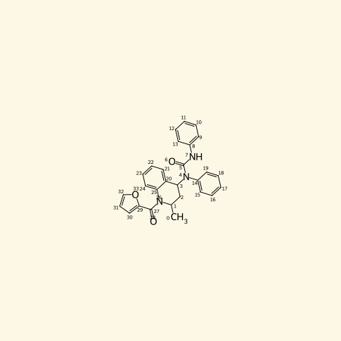 CC1CC(N(C(=O)Nc2ccccc2)c2ccccc2)c2ccccc2N1C(=O)c1ccco1